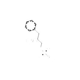 N[C@@H](COS(N)(=O)=O)Cc1ccccc1